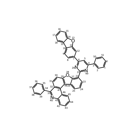 c1ccc(-c2cc(-c3ccc4c(c3)oc3ccccc34)nc(-c3cccc4c3oc3ccc5c(-c6ccccc6)nc6ccccc6c5c34)n2)cc1